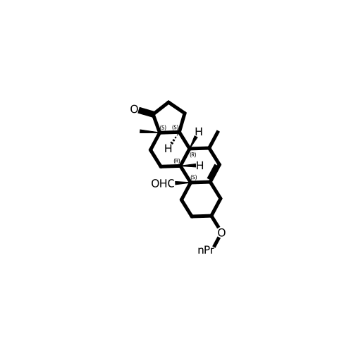 CCCOC1CC[C@@]2(C=O)C(=CC(C)[C@@H]3[C@H]2CC[C@]2(C)C(=O)CC[C@@H]32)C1